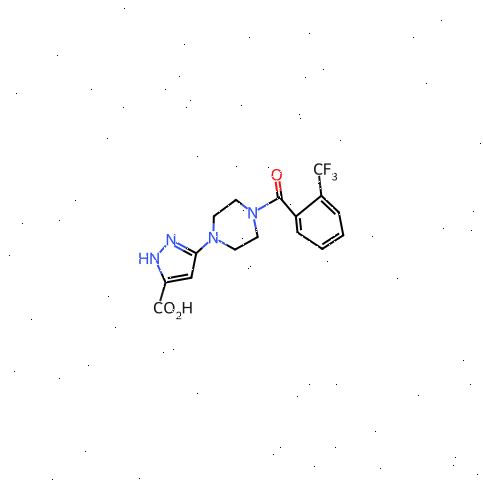 O=C(O)c1cc(N2CCN(C(=O)c3ccccc3C(F)(F)F)CC2)n[nH]1